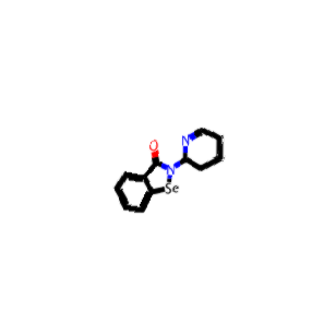 O=c1c2ccccc2[se]n1C1CCCC=N1